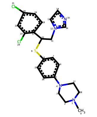 CN1CCN(c2ccc(SC(Cn3ccnc3)c3ccc(Cl)cc3Cl)cc2)CC1